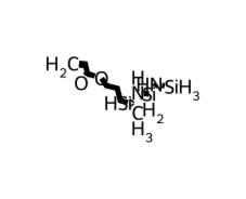 C=CC(=O)OCCC[SiH](C)N[SiH2]N[SiH3]